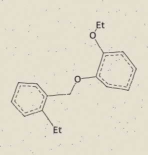 CCOc1ccccc1OCc1ccccc1CC